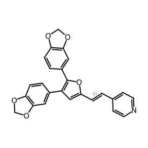 C(=C\c1cc(-c2ccc3c(c2)OCO3)c(-c2ccc3c(c2)OCO3)o1)/c1ccncc1